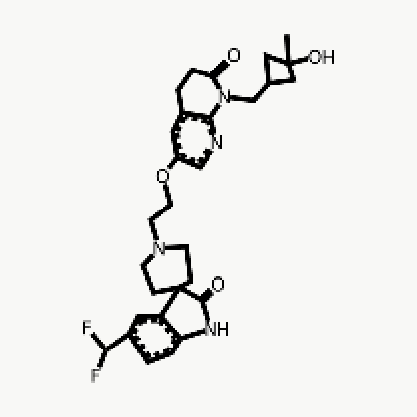 CC1(O)CC(CN2C(=O)CCc3cc(OCCN4CCC5(CC4)C(=O)Nc4ccc(C(F)F)cc45)cnc32)C1